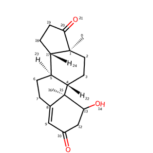 C[C@]12CC[C@H]3[C@@H](CCC4=CC(=O)CC(O)[C@@]43C)[C@@H]1CCC2=O